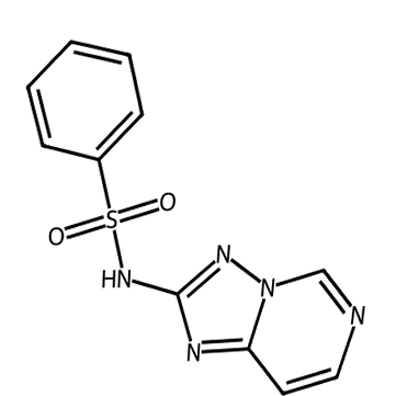 O=S(=O)(Nc1nc2ccncn2n1)c1ccccc1